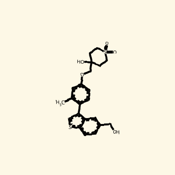 Cc1cc(OCC2(O)CCS(=O)(=O)CC2)ccc1-c1csc2ccc(CO)cc12